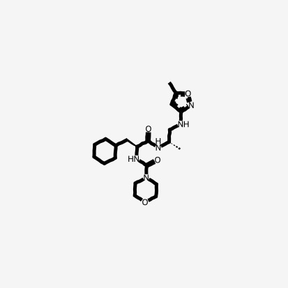 Cc1cc(NC[C@H](C)NC(=O)[C@H](CC2CCCCC2)NC(=O)N2CCOCC2)no1